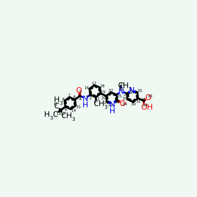 Cc1c(NC(=O)c2ccc(C(C)(C)C)cc2)cccc1-c1c[nH]c(=O)c(N(C)c2ccc(C(=O)O)cn2)c1